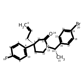 C=CC[C@@]1(c2ccc(F)cc2)CCN([C@@H](C)c2ccc(Br)cc2)C(=O)C1